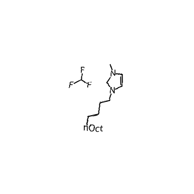 CCCCCCCCCCCCN1C=CN(C)C1.FC(F)F